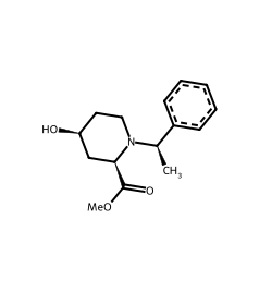 COC(=O)[C@H]1C[C@@H](O)CCN1[C@H](C)c1ccccc1